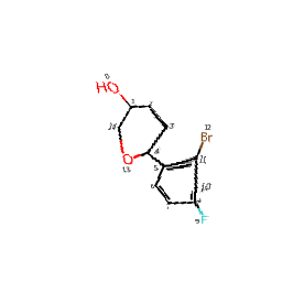 OC1CCC(c2ccc(F)cc2Br)OC1